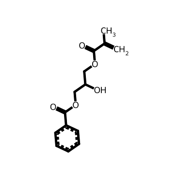 C=C(C)C(=O)OCC(O)COC(=O)c1ccccc1